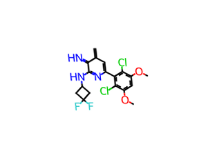 C=C1C=C(c2c(Cl)c(OC)cc(OC)c2Cl)N=C(NC2CC(F)(F)C2)C1=N